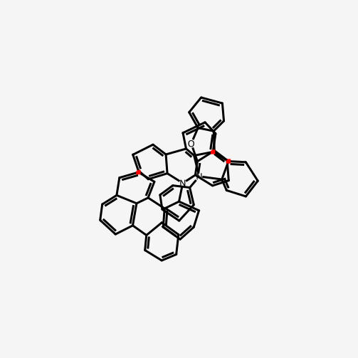 c1ccc(-c2cccc3cccc(-c4ccccc4N(c4ccccc4-c4cccc5c6ccccc6n(-c6ccccc6)c45)c4cccc5c4oc4ccccc45)c23)cc1